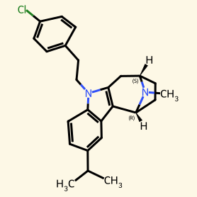 CC(C)c1ccc2c(c1)c1c(n2CCc2ccc(Cl)cc2)C[C@@H]2CC[C@H]1N2C